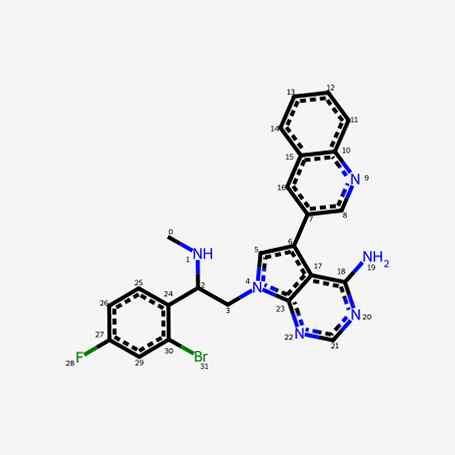 CNC(Cn1cc(-c2cnc3ccccc3c2)c2c(N)ncnc21)c1ccc(F)cc1Br